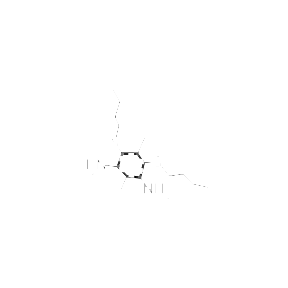 CCCCSc1c(C)c(SCCCC)c(N)c(C)c1N